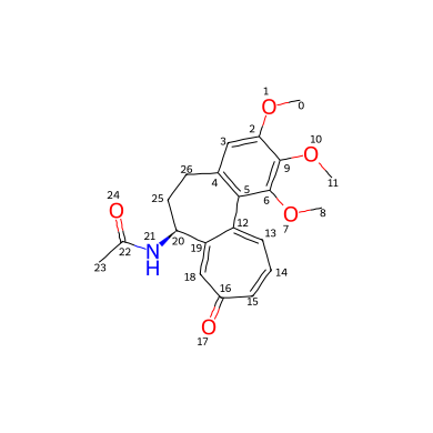 COc1cc2c(c(OC)c1OC)-c1cccc(=O)cc1[C@@H](NC(C)=O)CC2